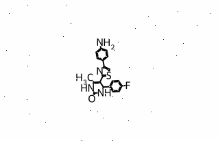 CC1=C(c2nc(-c3ccc(N)cc3)cs2)C(c2ccc(F)cc2)NC(=O)N1